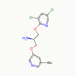 CC(C)(C)c1cncc(OC[C@@H](N)COc2ncc(Cl)cc2Cl)c1